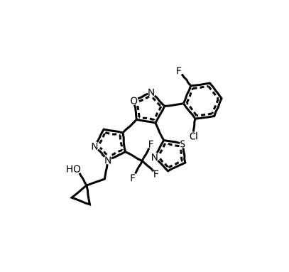 OC1(Cn2ncc(-c3onc(-c4c(F)cccc4Cl)c3-c3nccs3)c2C(F)(F)F)CC1